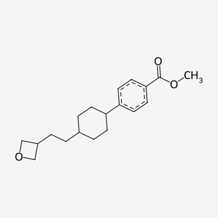 COC(=O)c1ccc(C2CCC(CCC3COC3)CC2)cc1